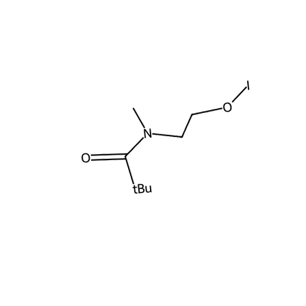 CN(CCOI)C(=O)C(C)(C)C